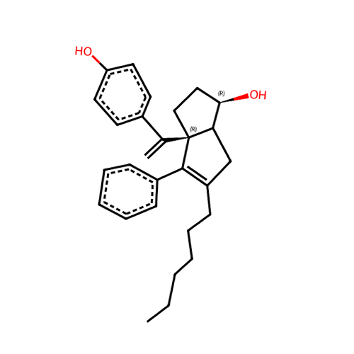 C=C(c1ccc(O)cc1)[C@@]12CC[C@@H](O)C1CC(CCCCCC)=C2c1ccccc1